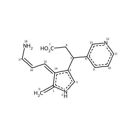 C=c1[nH]cc(C(CC(=O)O)c2cccnc2)/c1=C/C=C\N